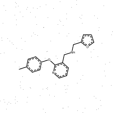 Cc1ccc(Oc2ncccc2CNCc2ccco2)cc1